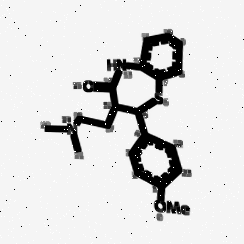 COc1ccc(C2Sc3ccccc3NC(=O)C2CCN(C)C)cc1